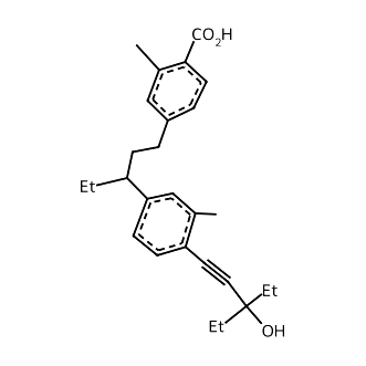 CCC(CCc1ccc(C(=O)O)c(C)c1)c1ccc(C#CC(O)(CC)CC)c(C)c1